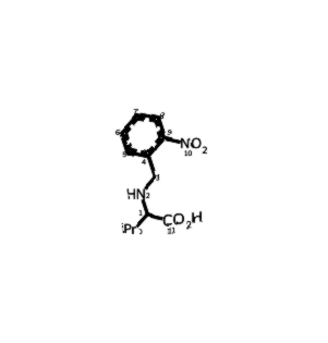 CC(C)C(NCc1ccccc1[N+](=O)[O-])C(=O)O